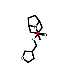 CC1CC2CCC(C1)N2C(=O)OCC1CCOC1